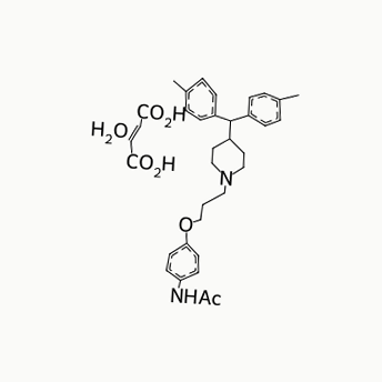 CC(=O)Nc1ccc(OCCCN2CCC(C(c3ccc(C)cc3)c3ccc(C)cc3)CC2)cc1.O.O=C(O)C=CC(=O)O